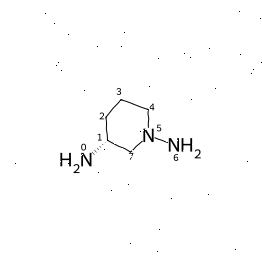 N[C@@H]1CCCN(N)C1